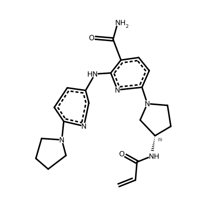 C=CC(=O)N[C@H]1CCN(c2ccc(C(N)=O)c(Nc3ccc(N4CCCC4)nc3)n2)C1